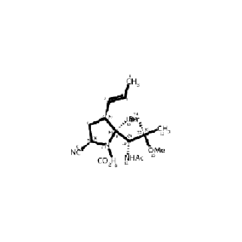 CC=C[C@@H]1C[C@H](C#N)N(C(=O)O)[C@@]1([C@@H](NC(C)=O)[C@](C)(CCC)OC)C(C)(C)C